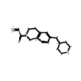 C=CC(=O)N1CCc2cc(CC3CCOCC3)ccc2C1